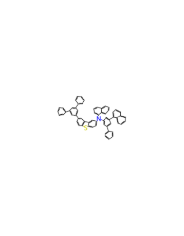 c1ccc(-c2cc(-c3ccccc3)cc(-c3ccc4sc5ccc(N(c6cc(-c7ccccc7)cc(-c7cccc8ccccc78)c6)c6cccc7ccccc67)cc5c4c3)c2)cc1